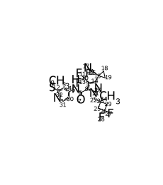 CSc1cc(NC(=O)c2c(C(F)(F)F)c(C3(C#N)CC3)nn2CC2(C)CC(F)(F)C2)ccn1